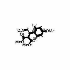 COC(=O)C(C(=O)OC)[C@@H](C[N+](=O)[O-])c1c(F)cc(OC)cc1F